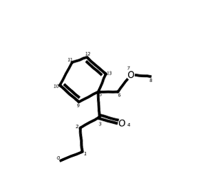 CCCC(=O)C1(COC)C=CCC=C1